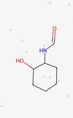 O=CNC1CCCCC1O